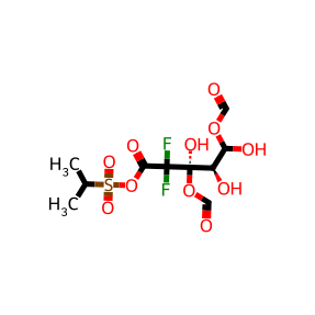 CC(C)S(=O)(=O)OC(=O)C(F)(F)[C@](O)(OC=O)[C@H](O)C(O)OC=O